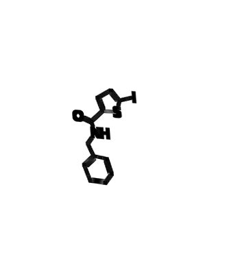 O=C(NCc1ccccc1)c1ccc(I)s1